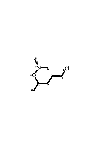 CC(CCCCl)O[SiH](C)C